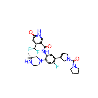 C[C@@H]1CN(c2cc(F)c(C3=CCN(C(=O)N4CCCC4)C3)cc2NC(=O)c2c[nH]c(=O)cc2C(F)F)CCN1